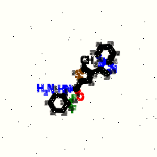 Cc1sc(C(=O)NC2[C@@H](N)CCCC2(F)F)cc1-c1cnc2ccccn12